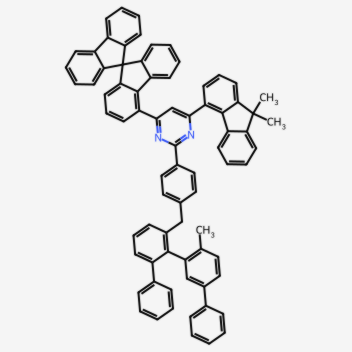 Cc1ccc(-c2ccccc2)cc1-c1c(Cc2ccc(-c3nc(-c4cccc5c4-c4ccccc4C5(C)C)cc(-c4cccc5c4-c4ccccc4C54c5ccccc5-c5ccccc54)n3)cc2)cccc1-c1ccccc1